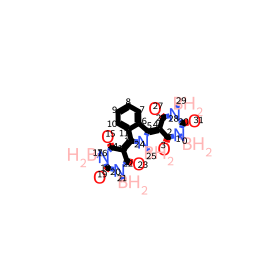 BN1C(=O)C(=c2c3ccccc3c(=C3C(=O)N(B)C(=O)N(B)C3=O)n2B)C(=O)N(B)C1=O